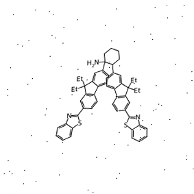 CCC1(CC)c2cc(-c3nc4ccccc4s3)ccc2-c2ccc(C3CCCCC3(N)c3ccc4c(c3)C(CC)(CC)c3cc(-c5nc6ccccc6s5)ccc3-4)cc21